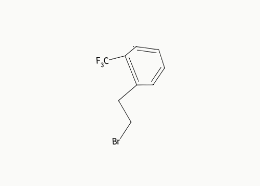 FC(F)(F)c1[c]cccc1CCBr